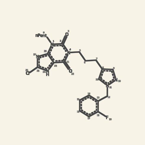 CCCCCn1c(=O)n(CCCc2cnn(Cc3ccccc3F)c2)c(=O)c2[nH]c(Cl)nc21